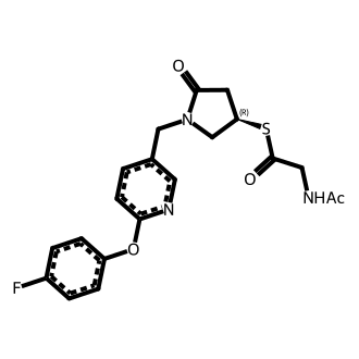 CC(=O)NCC(=O)S[C@@H]1CC(=O)N(Cc2ccc(Oc3ccc(F)cc3)nc2)C1